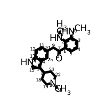 CNc1cccc(C(=O)Cc2ccc3[nH]cc(C4CCN(C)CC4)c3c2)c1NC